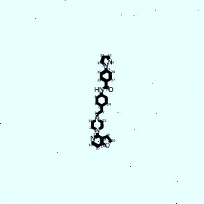 O=C(NC1CCC(CCN2CCN(c3nccc4c3CCO4)CC2)CC1)c1ccc(-n2cccn2)cc1